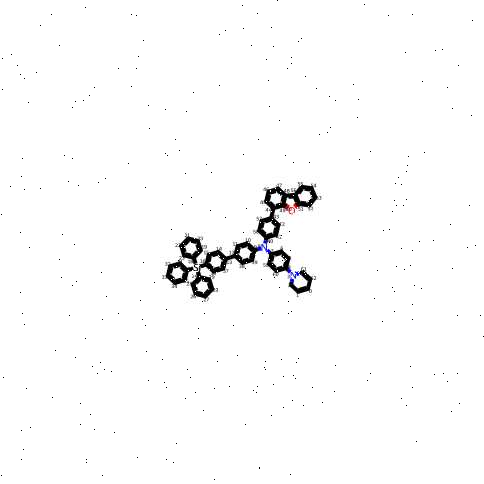 C1=CCN(c2ccc(N(c3ccc(-c4ccc([Si](c5ccccc5)(c5ccccc5)c5ccccc5)cc4)cc3)c3ccc(-c4cccc5c4oc4ccccc45)cc3)cc2)C=C1